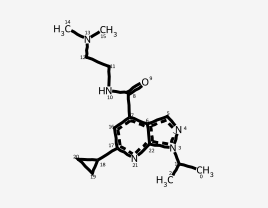 CC(C)n1ncc2c(C(=O)NCCN(C)C)cc(C3CC3)nc21